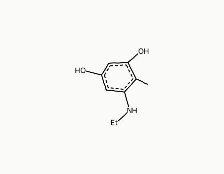 CCNc1cc(O)cc(O)c1C